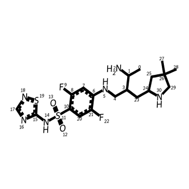 CC(N)C(CNc1cc(F)c(S(=O)(=O)Nc2ncns2)cc1F)CC1CC(C)(C)CN1